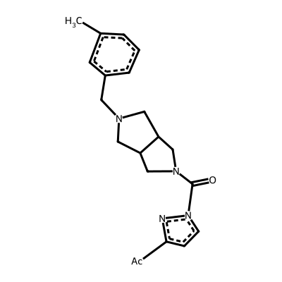 CC(=O)c1ccn(C(=O)N2CC3CN(Cc4cccc(C)c4)CC3C2)n1